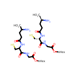 CCCCCCOC(=O)CNC(=O)C(CS)NC(=O)CCC(N)C(=O)O.CCCCCCOC(=O)CNC(=O)[C@H](CS)NC(=O)CC[C@H](N)C(=O)O